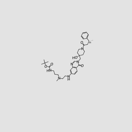 C[C@H](CC(=O)N1CCC(O)(Cn2cnc3cc(NCCN(C)CCCNC(=O)OC(C)(C)C)ccc3c2=O)CC1)c1ccccc1